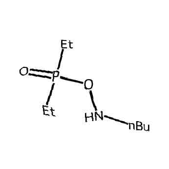 CCCCNOP(=O)(CC)CC